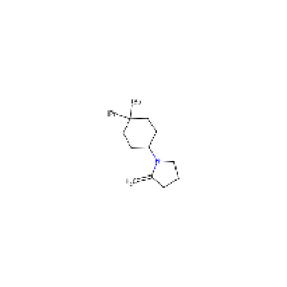 C=C1CCCN1C1CCC(C(C)C)(C(C)(C)C)CC1